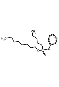 CCCCCCCCOP(=O)(OCCCC)Oc1ccccc1